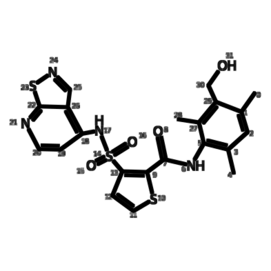 Cc1cc(C)c(NC(=O)c2sccc2S(=O)(=O)Nc2ccnc3sncc23)c(C)c1CO